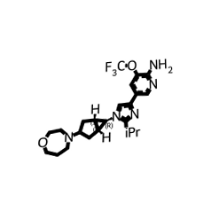 CC(C)c1nc(-c2cnc(N)c(OC(F)(F)F)c2)cn1[C@H]1[C@@H]2CC(N3CCCOCC3)C[C@@H]21